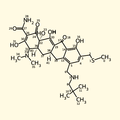 CSCc1cc(CNCC(C)(C)C)c2c(c1O)C(=O)C1=C(O)[C@]3(O)C(=O)C(C(N)=O)=C(O)C(N(C)C)[C@@H]3C[C@@H]1C2